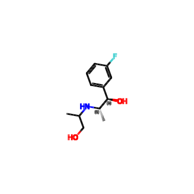 CC(CO)N[C@@H](C)[C@H](O)c1cccc(F)c1